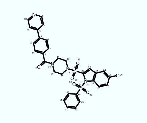 O=C(c1ccc(-c2ccncc2)cc1)N1CCN(S(=O)(=O)c2cc3cc(Cl)ccc3n2S(=O)(=O)c2ccccc2)CC1